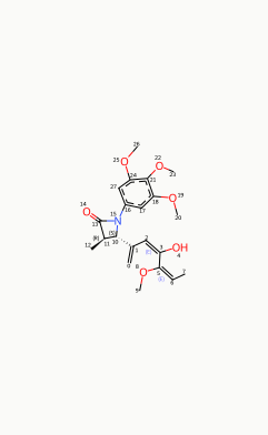 C=C(/C=C(O)\C(=C/C)OC)[C@@H]1[C@@H](C)C(=O)N1c1cc(OC)c(OC)c(OC)c1